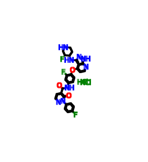 Cl.Cl.O=C(Nc1ccc(Oc2ccnc3[nH]nc(N[C@H]4CCNC[C@H]4F)c23)c(F)c1)c1ccnn(-c2ccc(F)cc2)c1=O